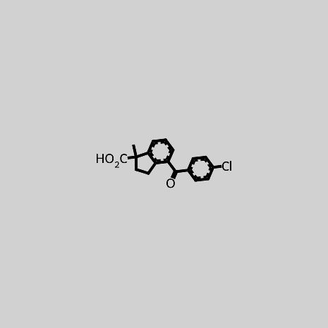 CC1(C(=O)O)CCc2c(C(=O)c3ccc(Cl)cc3)cccc21